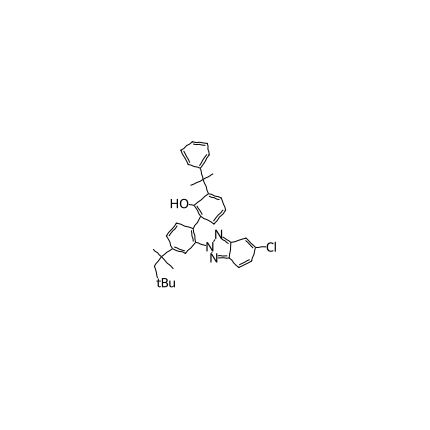 CC(C)(C)CC(C)(C)c1ccc(-c2cccc(C(C)(C)c3ccccc3)c2O)c(-n2nc3ccc(Cl)cc3n2)c1